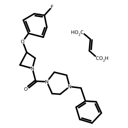 O=C(N1CCN(Cc2ccccc2)CC1)N1CC(Oc2ccc(F)cc2)C1.O=C(O)C=CC(=O)O